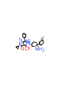 NC[C@]1(c2cccc(Cl)c2)CC[C@H](n2nc(-c3ccccc3)cc(C(=O)NC3CC3)c2=O)CC1